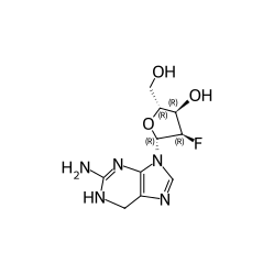 NC1=Nc2c(ncn2[C@@H]2O[C@H](CO)[C@@H](O)[C@H]2F)CN1